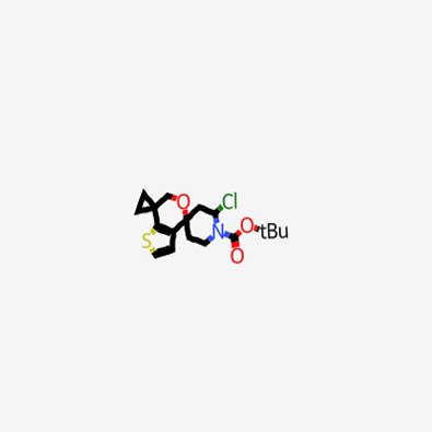 CC(C)(C)OC(=O)N1CCC2(CC1Cl)OCC1(CC1)c1sccc12